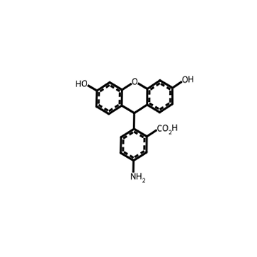 Nc1ccc(C2c3ccc(O)cc3Oc3cc(O)ccc32)c(C(=O)O)c1